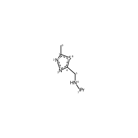 Cc1nnc(CNC(C)C)s1